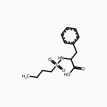 CCCCS(=O)(=O)NC(Cc1ccccc1)C(=O)O